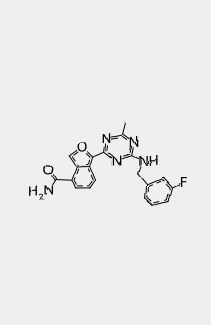 Cc1nc(NCc2cccc(F)c2)nc(-c2occ3c(C(N)=O)cccc23)n1